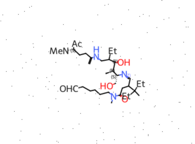 C=C(CC[C@H](NC)C(C)=O)NCC(CC)[C@@H](O)[C@H](C)[C@@H](CO)/N=C\C(CC(=O)N(C)CCCCCC=O)C(C)(CC)CC